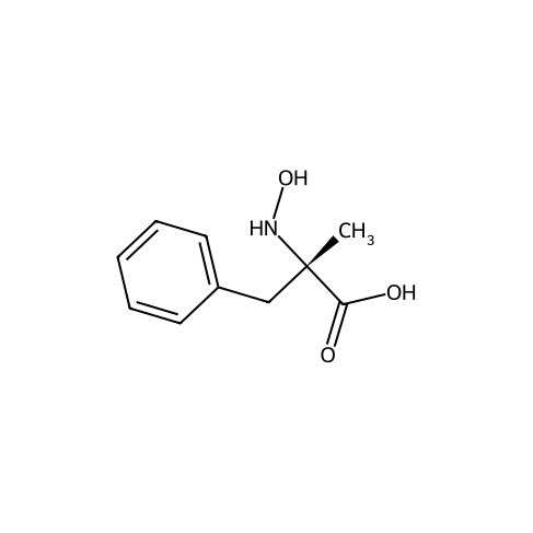 C[C@@](Cc1ccccc1)(NO)C(=O)O